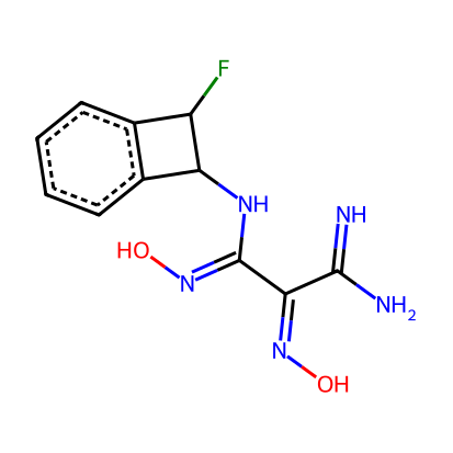 N=C(N)C(=N\O)/C(=N/O)NC1c2ccccc2C1F